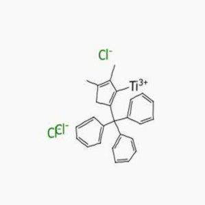 CC1=C(C)[C]([Ti+3])=C(C(c2ccccc2)(c2ccccc2)c2ccccc2)C1.[Cl-].[Cl-].[Cl-]